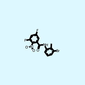 Cc1c(Br)cccc1NC(=O)c1cc(F)cc(F)c1[N+](=O)[O-]